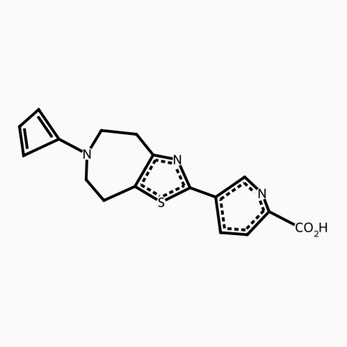 O=C(O)c1ccc(-c2nc3c(s2)CCN(C2=CC=C2)CC3)cn1